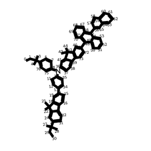 CCC(C)(C)c1ccc(N(c2ccc(-c3ccc4c(c3)C(C)(C)c3cc(C(C)(C)CC)ccc3-4)cc2)c2ccc3c(c2)C(C)(C)c2cc(-c4c5ccccc5c(-c5ccc6ccccc6c5)c5ccccc45)ccc2-3)cc1